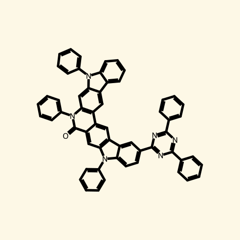 O=c1c2cc3c(cc2c2cc4c5ccccc5n(-c5ccccc5)c4cc2n1-c1ccccc1)c1cc(-c2nc(-c4ccccc4)nc(-c4ccccc4)n2)ccc1n3-c1ccccc1